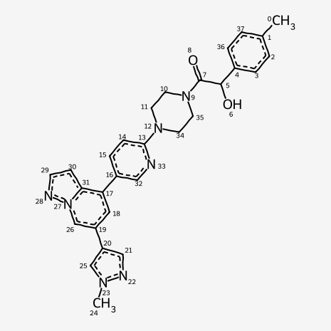 Cc1ccc(C(O)C(=O)N2CCN(c3ccc(-c4cc(-c5cnn(C)c5)cn5nccc45)cn3)CC2)cc1